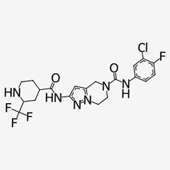 O=C(Nc1cc2n(n1)CCN(C(=O)Nc1ccc(F)c(Cl)c1)C2)C1CCNC(C(F)(F)F)C1